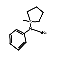 CCC(C)N(c1ccccc1)S1(C)CCCC1